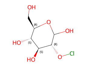 OC[C@H]1OC(O)[C@H](OCl)[C@@H](O)[C@@H]1O